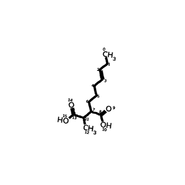 CCC=CCCCC(C(=O)O)C(C)C(=O)O